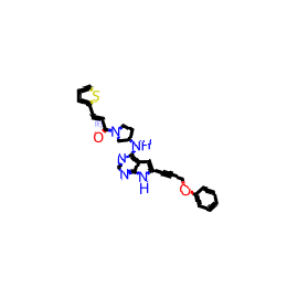 O=C(/C=C/c1cccs1)N1CCC(Nc2ncnc3[nH]c(C#CCOc4ccccc4)cc23)C1